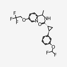 CC(NC(=O)[C@@H]1C[C@H]1c1cccc(OC(F)F)c1)c1ccc(OCC(F)(F)F)cn1